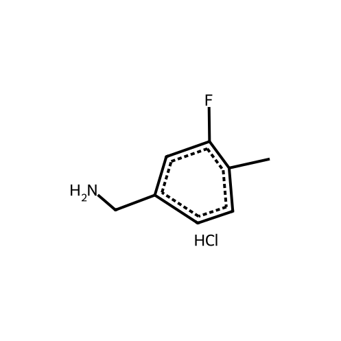 Cc1ccc(CN)cc1F.Cl